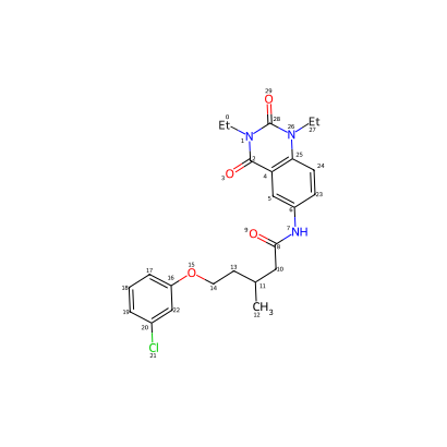 CCn1c(=O)c2cc(NC(=O)CC(C)CCOc3cccc(Cl)c3)ccc2n(CC)c1=O